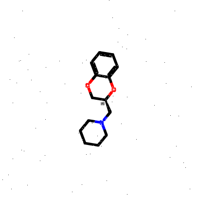 c1ccc2c(c1)OC[C@H](CN1CCCCC1)O2